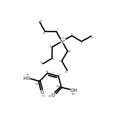 CCC[N+](CCC)(CCC)CCC.O=C(O)/C=C\C(=O)O